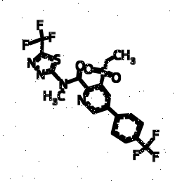 CCS(=O)(=O)c1cc(-c2ccc(C(F)(F)F)cc2)cnc1C(=O)N(C)c1nnc(C(F)(F)F)s1